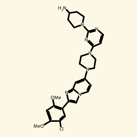 COc1cc(OC)c(-c2cn3ccc(N4CCN(c5ccnc(N6CCC(N)CC6)n5)CC4)cc3n2)cc1Cl